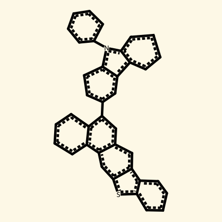 c1ccc(-n2c3ccccc3c3cc(-c4cc5cc6c(cc5c5ccccc45)sc4ccccc46)ccc32)cc1